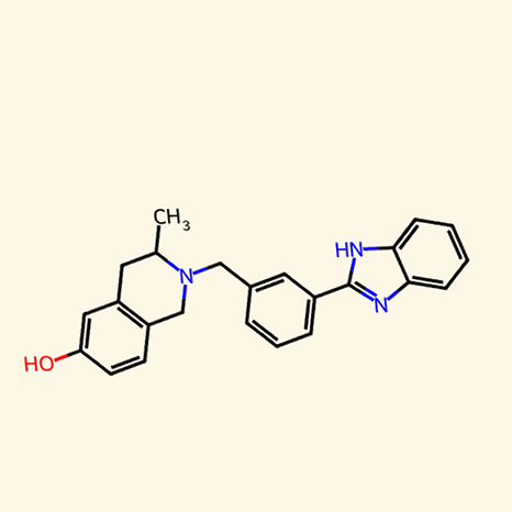 CC1Cc2cc(O)ccc2CN1Cc1cccc(-c2nc3ccccc3[nH]2)c1